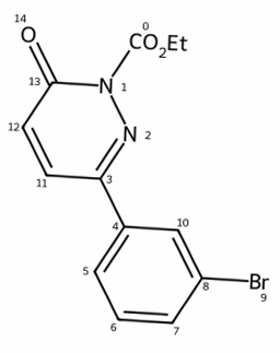 CCOC(=O)n1nc(-c2cccc(Br)c2)ccc1=O